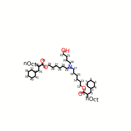 CCCCCCCCC(CC1CCCCC1)C(=O)OCCCCCCN(CCCCO)CCCCCCOC(=O)C(CCCCCCCC)CC1CCCCC1